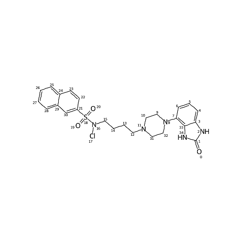 O=c1[nH]c2cccc(N3CCN(CCCCN(Cl)S(=O)(=O)c4ccc5ccccc5c4)CC3)c2[nH]1